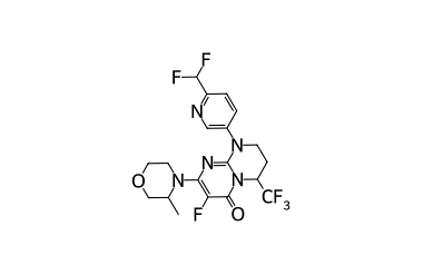 CC1COCCN1c1nc2n(c(=O)c1F)C(C(F)(F)F)CCN2c1ccc(C(F)F)nc1